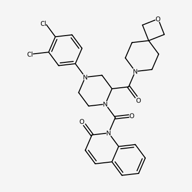 O=C(C1CN(c2ccc(Cl)c(Cl)c2)CCN1C(=O)n1c(=O)ccc2ccccc21)N1CCC2(CC1)COC2